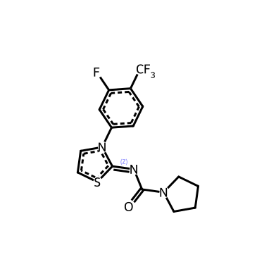 O=C(/N=c1\sccn1-c1ccc(C(F)(F)F)c(F)c1)N1CCCC1